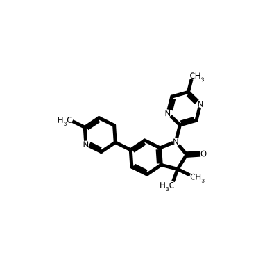 CC1=CCC(c2ccc3c(c2)N(c2cnc(C)cn2)C(=O)C3(C)C)C=N1